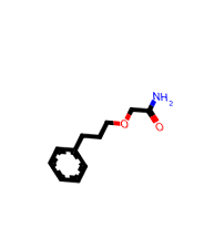 NC(=O)COCCCc1ccccc1